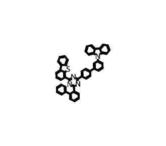 c1ccc(-c2ccccc2-c2nc(-c3ccc(-c4cccc(-n5c6ccccc6c6ccccc65)c4)cc3)nc(-c3cccc4c3sc3ccccc34)n2)cc1